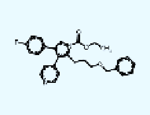 CCOC(=O)n1cc(-c2ccc(F)cc2)c(-c2ccncc2)c1CCCOCc1ccccc1